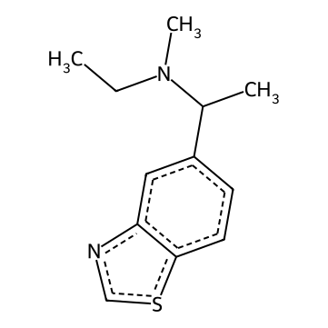 CCN(C)C(C)c1ccc2scnc2c1